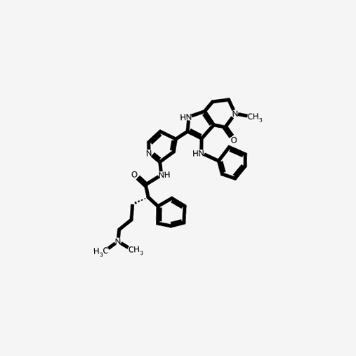 CN(C)CCC[C@H](C(=O)Nc1cc(-c2[nH]c3c(c2Nc2ccccc2)C(=O)N(C)CC3)ccn1)c1ccccc1